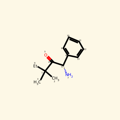 CCC(C)(C)C(=O)[C@@H](N)c1ccccc1